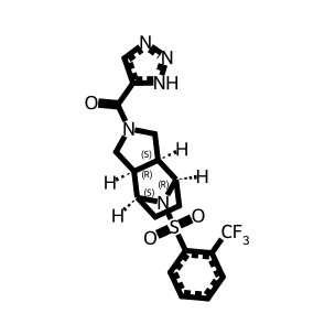 O=C(c1cnn[nH]1)N1C[C@@H]2[C@H](C1)[C@@H]1CC[C@H]2N1S(=O)(=O)c1ccccc1C(F)(F)F